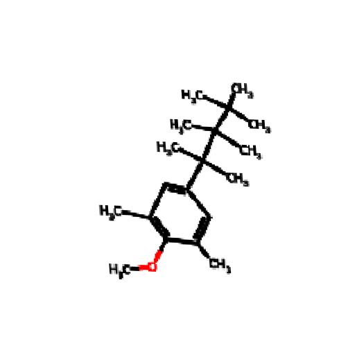 COc1c(C)cc(C(C)(C)C(C)(C)C(C)(C)C)cc1C